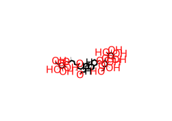 C[C@H](CCC(=O)[C@@H](C)[C@H]1C(=O)C[C@H]2[C@@H]3CC=C4CC(O[C@@H]5OC(CO)[C@@H](O)[C@H](O)C5O[C@@H]5OC(O)[C@H](O)[C@H](O)C5O)CC[C@]4(C)[C@H]3CC[C@]12C)CO[C@@H]1OC(CO)[C@@H](O)[C@H](O)C1O